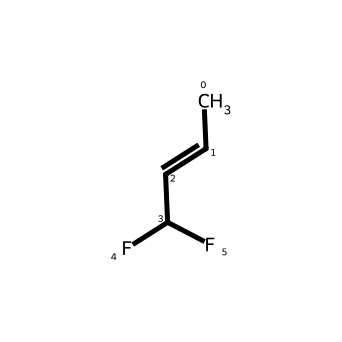 C/C=C/C(F)F